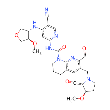 CO[C@H]1COC[C@@H]1Nc1cc(NC(=O)N2CCCc3cc(CN4CC[C@@H](OC)C4=C=O)c(C=O)nc32)ncc1C#N